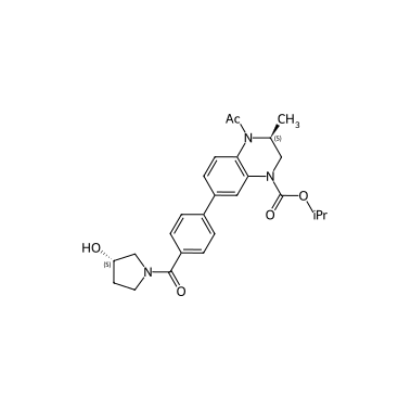 CC(=O)N1c2ccc(-c3ccc(C(=O)N4CC[C@H](O)C4)cc3)cc2N(C(=O)OC(C)C)C[C@@H]1C